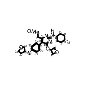 COCc1nc(N[C@H]2CC[C@@H](C)CC2)nc(OC2COC2)c1-c1ccc(O[C@@H]2CCOC2)cc1